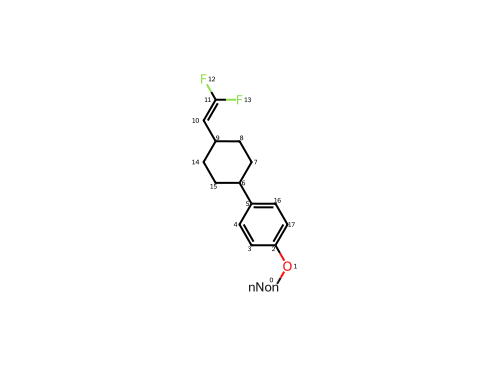 CCCCCCCCCOc1ccc(C2CCC(C=C(F)F)CC2)cc1